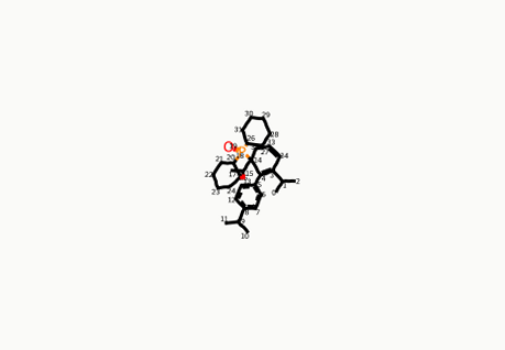 CC(C)C1=C(c2ccc(C(C)C)cc2)C(C(C)C)(P(=O)(C2CCCCC2)C2CCCCC2)CC=C1